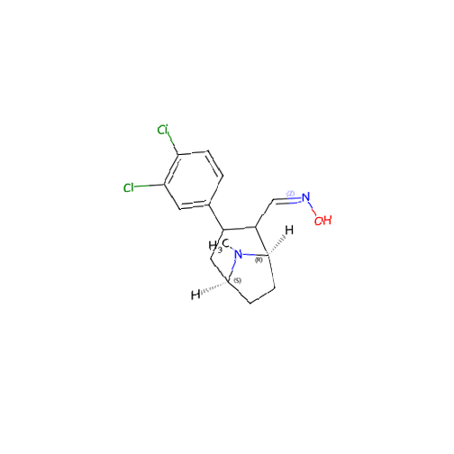 CN1[C@H]2CC[C@@H]1C(/C=N\O)C(c1ccc(Cl)c(Cl)c1)C2